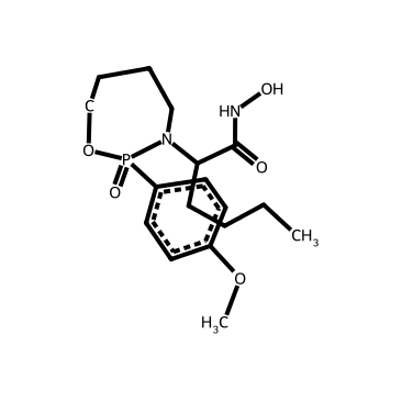 CCCCC(C(=O)NO)N1CCCCOP1(=O)c1ccc(OC)cc1